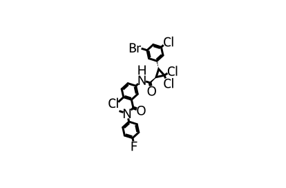 CN(C(=O)c1cc(NC(=O)[C@H]2[C@H](c3cc(Cl)cc(Br)c3)C2(Cl)Cl)ccc1Cl)c1ccc(F)cc1